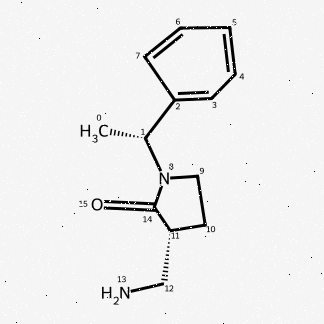 C[C@H](c1ccccc1)N1CC[C@H](CN)C1=O